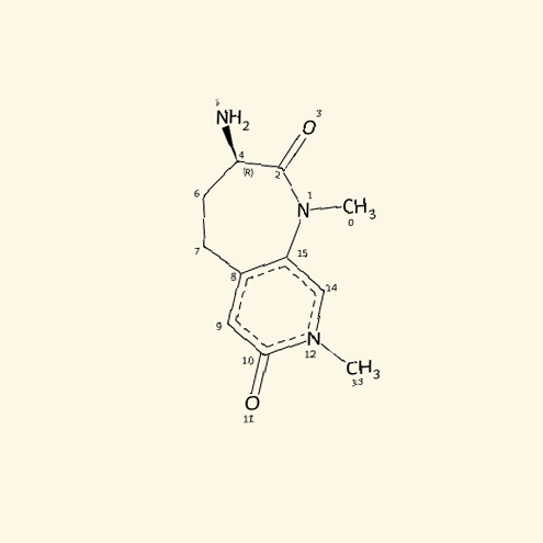 CN1C(=O)[C@H](N)CCc2cc(=O)n(C)cc21